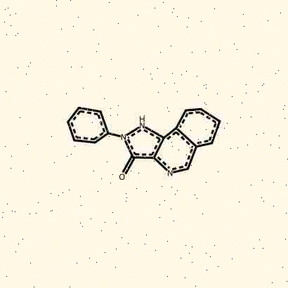 O=c1c2ncc3ccccc3c2[nH]n1-c1ccccc1